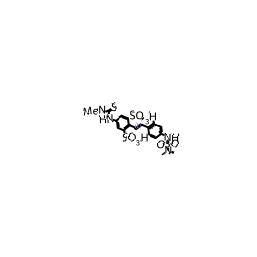 CNC(=S)Nc1ccc(/C=C/c2ccc(NS(=O)(=O)N(C)C)cc2S(=O)(=O)O)c(S(=O)(=O)O)c1